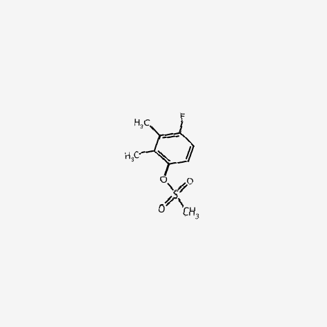 Cc1c(F)ccc(OS(C)(=O)=O)c1C